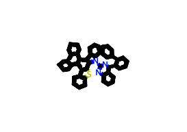 c1ccc(-c2ccccc2-c2nc(-n3c4ccccc4c4c5c6ccccc6c6ccccc6c5c5c6ccccc6sc5c43)nc3ccccc23)cc1